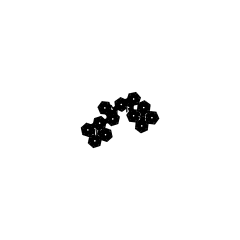 c1ccc([Si](c2ccccc2)(c2ccccc2)c2cccc(-n3c4ccccc4c4ccc(-n5c6ccccc6c6c(-c7ccc8c(c7)[Si](c7ccccc7)(c7ccccc7)c7ccccc7-8)cccc65)cc43)c2)cc1